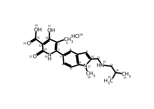 Cc1c(-c2ccc3c(c2)cc(CNCC(C)C)n3C)[nH]c(=O)c(C(=O)O)c1O.Cl